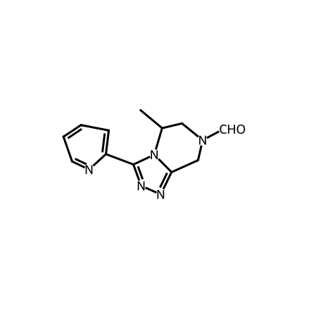 CC1CN(C=O)Cc2nnc(-c3ccccn3)n21